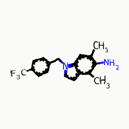 Cc1cc2c(ccn2Cc2ccc(C(F)(F)F)cc2)c(C)c1N